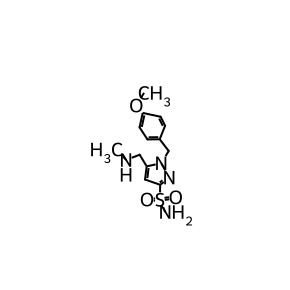 CNCc1cc(S(N)(=O)=O)nn1Cc1ccc(OC)cc1